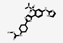 CC(C)OC(=O)NC1CCC(c2ncc(-c3ccc(Nc4ncc[nH]4)cc3S(=O)(=O)N(C)C)s2)CC1